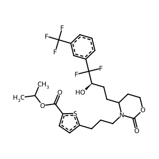 CC(C)OC(=O)c1ccc(CCCN2C(=O)OCCC2CC[C@@H](O)C(F)(F)c2cccc(C(F)(F)F)c2)s1